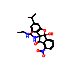 CCNC(=O)NC12C(=O)c3c([N+](=O)[O-])cccc3C1(O)Oc1cc(C(C)C)ccc12